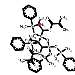 C=C(C)C(=O)OC(CC)[Si](O[Si](C)(C)c1ccccc1)(O[Si](C)(C)c1ccccc1)O[Si](O[Si](C)(C)c1ccccc1)(O[Si](C)(C)c1ccccc1)C(CC)OC(=O)C(=C)C